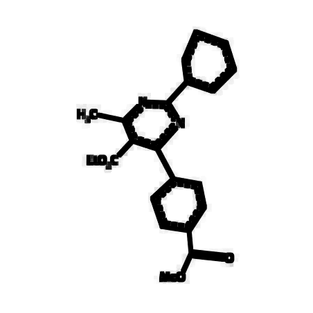 CCOC(=O)c1c(C)nc(-c2ccccc2)nc1-c1ccc(C(=O)OC)cc1